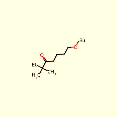 CCC(C)OCCCCC(=O)C(C)(C)CC